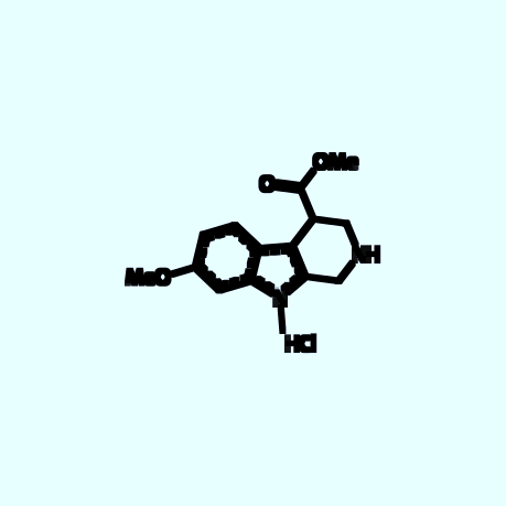 COC(=O)C1CNCc2c1c1ccc(OC)cc1n2C.Cl